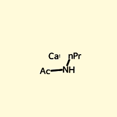 CCCNC(C)=O.[Ca]